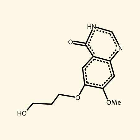 COc1cc2nc[nH]c(=O)c2cc1OCCCO